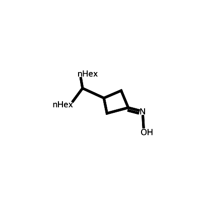 CCCCCCC(CCCCCC)C1CC(=NO)C1